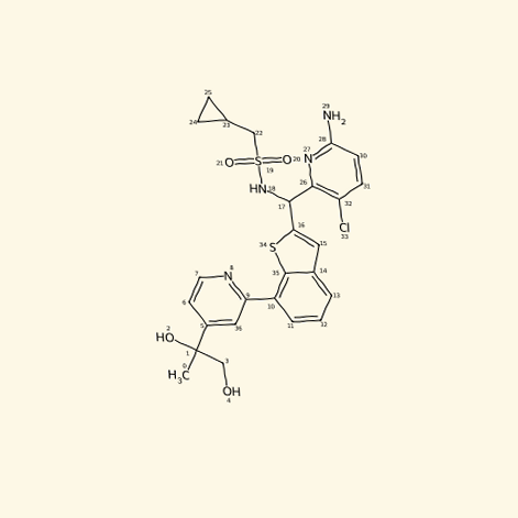 CC(O)(CO)c1ccnc(-c2cccc3cc(C(NS(=O)(=O)CC4CC4)c4nc(N)ccc4Cl)sc23)c1